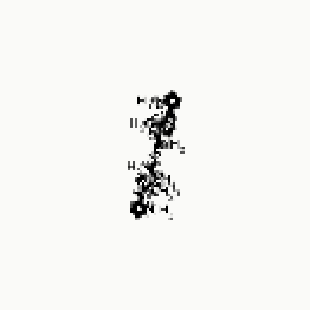 COc1ccccc1-c1cn2c(n1)[C@H](C(C)(C)C)N(C(=O)[C@@H](N)CSSC[C@H](N)C(=O)N1CCn3cc(-c4ccccc4OC)nc3[C@@H]1C(C)(C)C)CC2